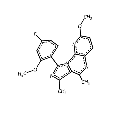 COc1ccc2nc(C)c3c(C)nc(-c4ccc(F)cc4OC)n3c2n1